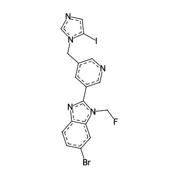 FCn1c(-c2cncc(Cn3cncc3I)c2)nc2ccc(Br)cc21